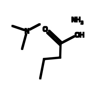 CCCC(=O)O.CN(C)C.N